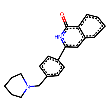 O=c1[nH]c(-c2ccc(CN3CCCCC3)cc2)cc2ccccc12